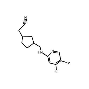 N#CCC1CCC(CNc2cc(Cl)c(Br)cn2)C1